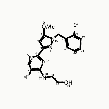 COc1cc(-c2ncc(F)c(NCCO)n2)nn1Cc1ccccc1F